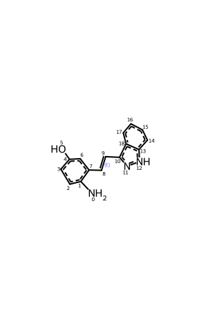 Nc1ccc(O)cc1/C=C/c1n[nH]c2ccccc12